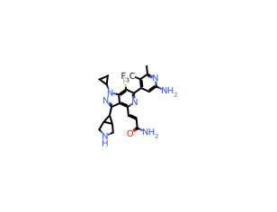 Cc1nc(N)cc(-c2nc(C=CC(N)=O)c3c(C4C5CNCC54)nn(C4CC4)c3c2F)c1C(F)(F)F